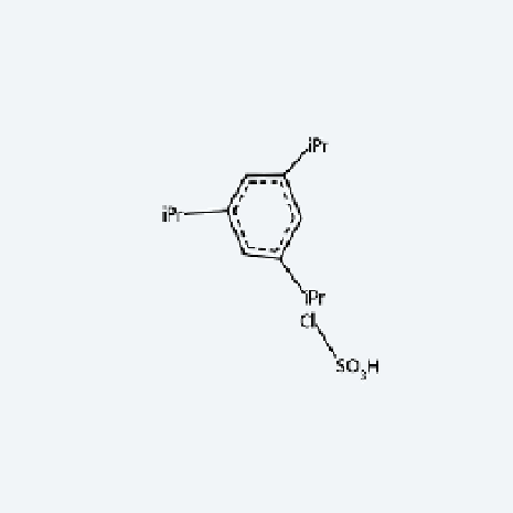 CC(C)c1cc(C(C)C)cc(C(C)C)c1.O=S(=O)(O)Cl